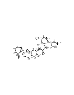 Cn1cc(-c2ncc(Cl)c3c2NC(=O)N(c2cc4c(cc2Cl)CCC(c2ncccc2F)O4)C3)cn1